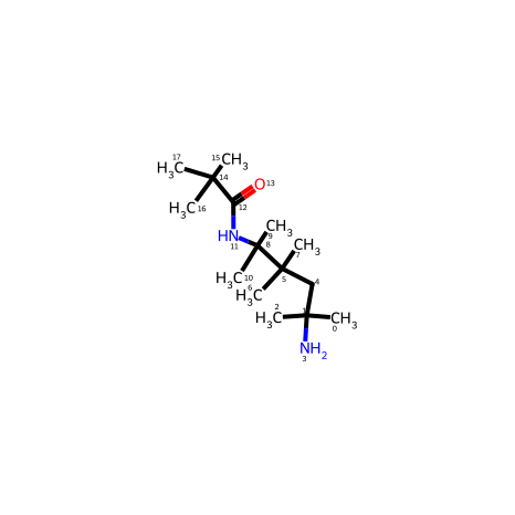 CC(C)(N)CC(C)(C)C(C)(C)NC(=O)C(C)(C)C